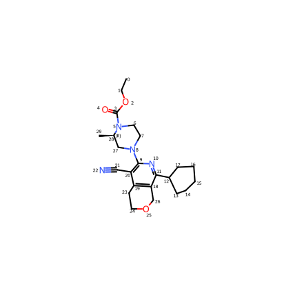 CCOC(=O)N1CCN(c2nc(C3CCCCC3)c3c(c2C#N)CCOC3)C[C@H]1C